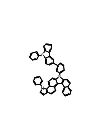 c1ccc(-n2ccc3ccc4c(ccc5c4c4c6ccccc6ccc4n5-c4cccc(-c5ccc6c(c5)c5ccccc5n6-c5ccccc5)c4)c32)cc1